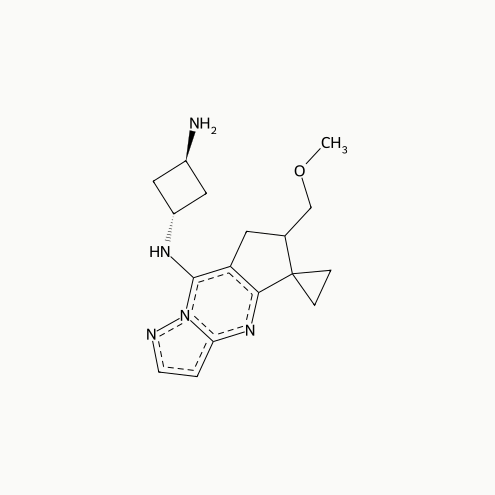 COCC1Cc2c(nc3ccnn3c2N[C@H]2C[C@H](N)C2)C12CC2